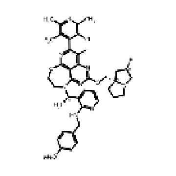 COc1ccc(CNc2ncccc2[C@@H](C)N2CCOc3nc(-c4c(Cl)c(C)nc(C)c4C(F)(F)F)c(F)c4nc(OC[C@@]56CCCN5C[C@H](F)C6)nc2c34)cc1